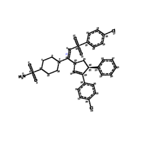 NS(=O)(=O)C1CCN(/C(=N/S(=O)(=O)c2ccc(Cl)cc2)N2C[C@@H](c3ccccc3)C(c3ccc(Cl)cc3)=N2)CC1